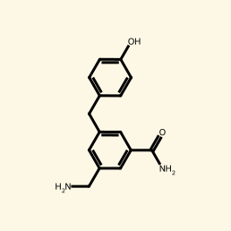 NCc1cc(Cc2ccc(O)cc2)cc(C(N)=O)c1